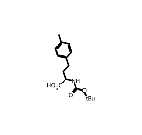 Cc1ccc(CC[C@@H](NC(=O)OC(C)(C)C)C(=O)O)cc1